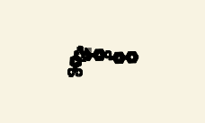 COC(=O)c1ccc(CN(C)c2nc(-c3ccc(OCc4ccc(C5CCCCC5)cc4)cc3)cs2)cc1